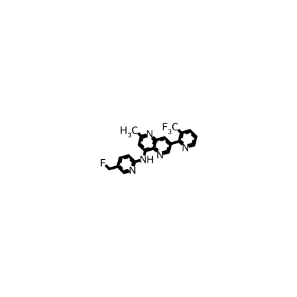 Cc1cc(Nc2ccc(CF)cn2)c2ncc(-c3ncccc3C(F)(F)F)cc2n1